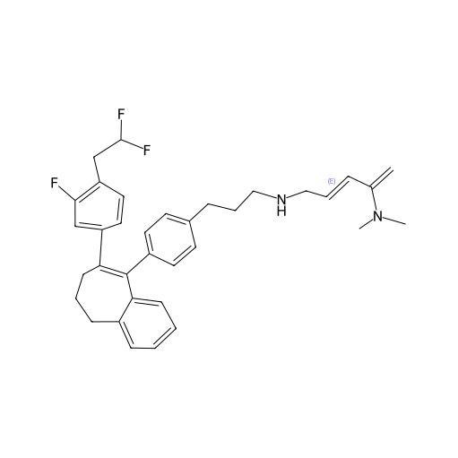 C=C(/C=C/CNCCCc1ccc(C2=C(c3ccc(CC(F)F)c(F)c3)CCCc3ccccc32)cc1)N(C)C